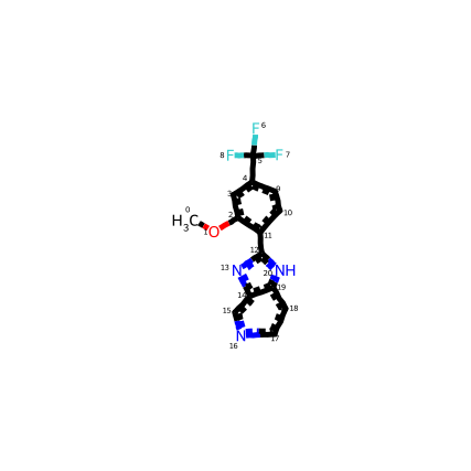 COc1cc(C(F)(F)F)ccc1-c1nc2cnccc2[nH]1